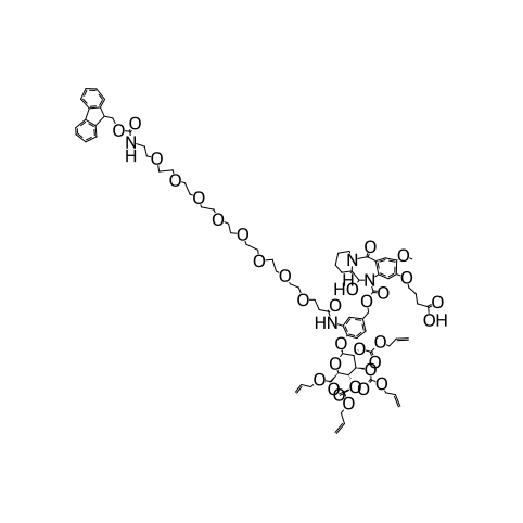 C=CCOC(=O)O[C@@H]1[C@@H](OC(=O)OCC=C)[C@H](Oc2ccc(COC(=O)N3c4cc(OCCCC(=O)O)c(OC)cc4C(=O)N4CCCC[C@H]4C3O)cc2NC(=O)CCOCCOCCOCCOCCOCCOCCOCCOCCNC(=O)OCC2c3ccccc3-c3ccccc32)O[C@H](C(=O)OCC=C)[C@H]1OC(=O)OCC=C